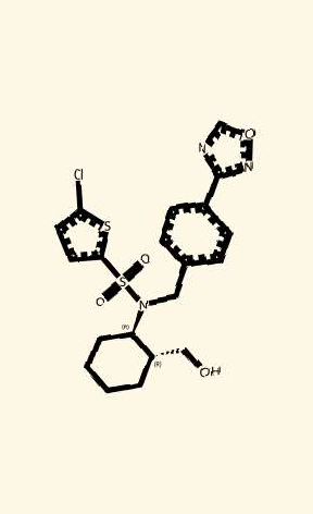 O=S(=O)(c1ccc(Cl)s1)N(Cc1ccc(-c2ncon2)cc1)[C@@H]1CCCC[C@H]1CO